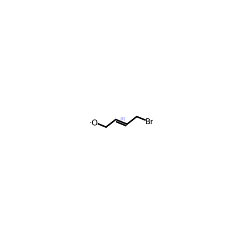 [O]C/C=C/CBr